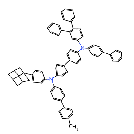 Cc1ccc(-c2ccc(N(c3ccc(-c4ccc(N(c5ccc(-c6ccccc6)cc5)c5ccc(-c6ccccc6)c(-c6ccccc6)c5)cc4)cc3)c3ccc(C45CC6CC7CC(C4)C765)cc3)cc2)cc1